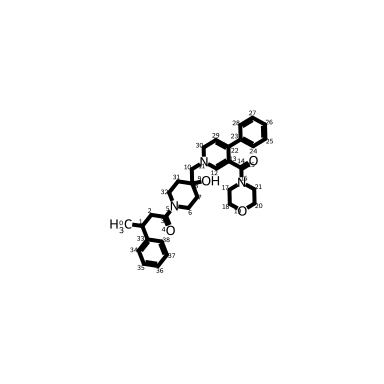 CC(CC(=O)N1CCC(O)(CN2C=C(C(=O)N3CCOCC3)C(c3ccccc3)=CC2)CC1)c1ccccc1